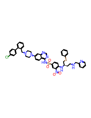 O=[N+]([O-])c1cc(S(=O)(=O)Nc2ncnc3cc(N4CCN(Cc5ccccc5-c5ccc(Cl)cc5)CC4)ccc23)ccc1N[C@H](CCNCc1ccccn1)CSc1ccccc1